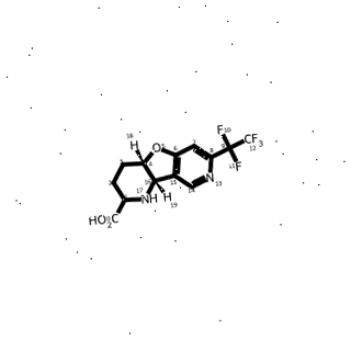 O=C(O)C1CC[C@@H]2Oc3cc(C(F)(F)C(F)(F)F)ncc3[C@@H]2N1